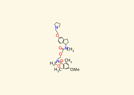 COc1cc(C)c(S(=O)(=O)N(C)CCOCC(=O)N(C)C2CCc3cc(OCCN4CCCC4)ccc32)c(C)c1